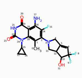 Cc1c(N2CC3=CC(F)(F)C(O)C3C2)c(F)c(N)c2c(=O)[nH]c(=O)n(C3CC3)c12